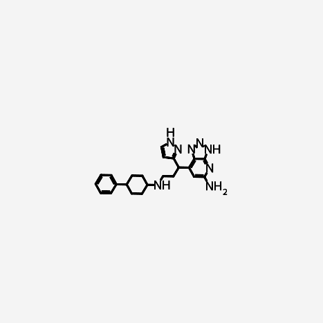 Nc1cc(C(CCNC2CCC(c3ccccc3)CC2)c2cc[nH]n2)c2nn[nH]c2n1